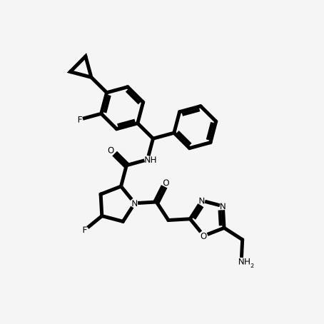 NCc1nnc(CC(=O)N2CC(F)CC2C(=O)NC(c2ccccc2)c2ccc(C3CC3)c(F)c2)o1